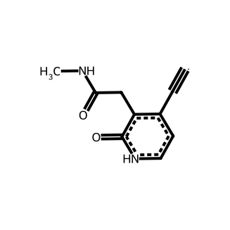 [C]#Cc1cc[nH]c(=O)c1CC(=O)NC